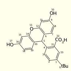 CC(C)(C)c1ccc(C2c3ccc(O)cc3Oc3cc(O)ccc32)c(C(=O)O)c1